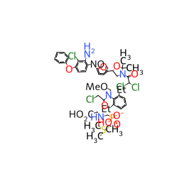 CC1(C)OC(c2ccco2)CN1C(=O)C(Cl)Cl.CCc1cccc(CC)c1N(COC)C(=O)CCl.C[S+](C)C.Nc1c([N+](=O)[O-])ccc(Oc2ccccc2)c1Cl.O=C(O)CNCP(=O)([O-])O